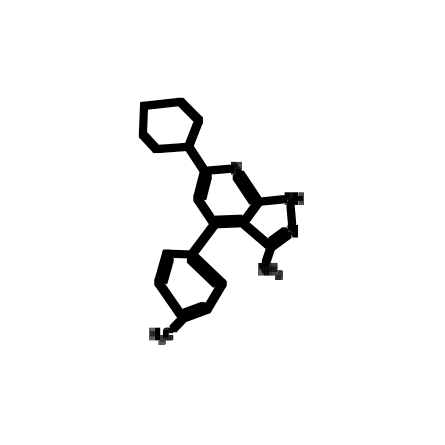 Cc1ccc(-c2cc(C3CCCCC3)nc3[nH]nc(N)c23)cc1